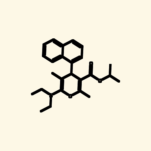 CCN(CC)C1=C(C)C(c2cccc3ccccc23)C(C(=O)OC(C)C)=C(C)O1